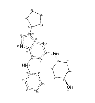 O[C@H]1CC[C@H](Nc2nc(Nc3ccccc3)c3ncn(C4CCCC4)c3n2)CC1